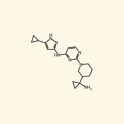 NC1(C2CCCN(c3nccc(Nc4cc(C5CC5)[nH]n4)n3)C2)CC1